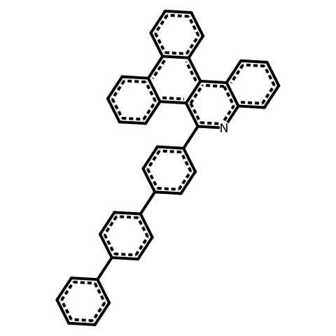 c1ccc(-c2ccc(-c3ccc(-c4nc5ccccc5c5c6ccccc6c6ccccc6c45)cc3)cc2)cc1